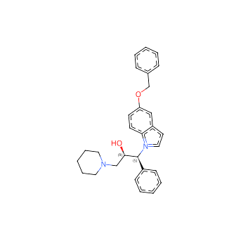 O[C@H](CN1CCCCC1)[C@H](c1ccccc1)n1ccc2cc(OCc3ccccc3)ccc21